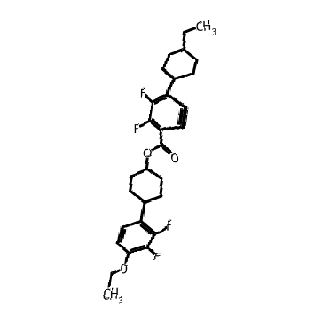 CCOc1ccc(C2CCC(OC(=O)c3ccc(C4CCC(CC)CC4)c(F)c3F)CC2)c(F)c1F